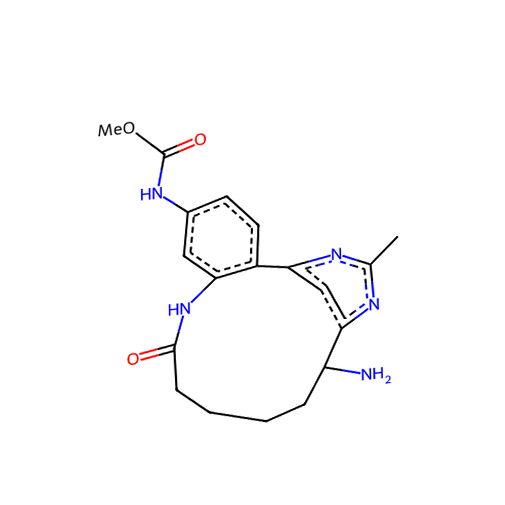 COC(=O)Nc1ccc2c(c1)NC(=O)CCCCC(N)c1cc-2nc(C)n1